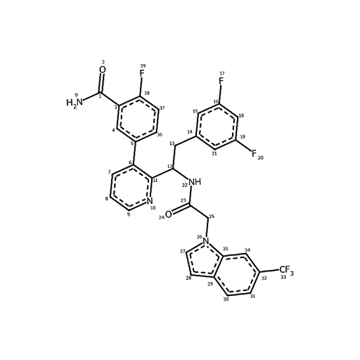 NC(=O)c1cc(-c2cccnc2C(Cc2cc(F)cc(F)c2)NC(=O)Cn2ccc3ccc(C(F)(F)F)cc32)ccc1F